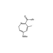 CCCC(=O)C1=NCC=C(NC)C=C1C